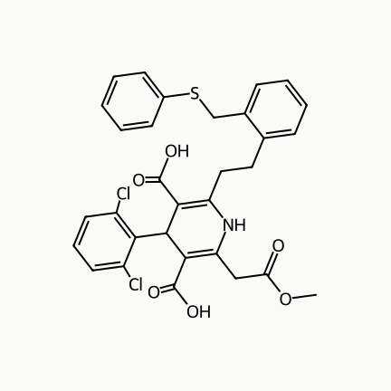 COC(=O)CC1=C(C(=O)O)C(c2c(Cl)cccc2Cl)C(C(=O)O)=C(CCc2ccccc2CSc2ccccc2)N1